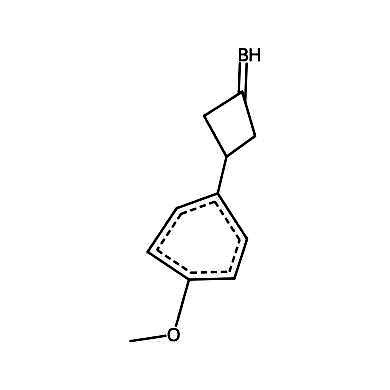 B=C1CC(c2ccc(OC)cc2)C1